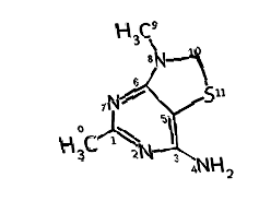 Cc1nc(N)c2c(n1)N(C)CS2